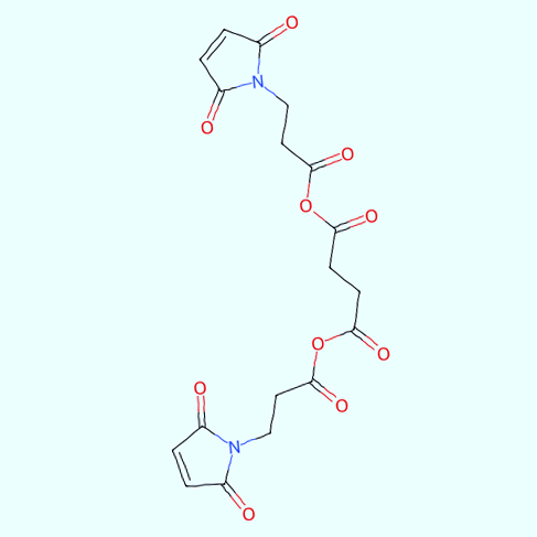 O=C(CCC(=O)OC(=O)CCN1C(=O)C=CC1=O)OC(=O)CCN1C(=O)C=CC1=O